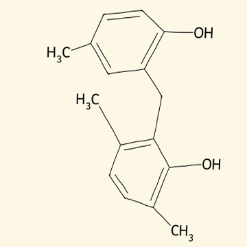 Cc1ccc(O)c(Cc2c(C)ccc(C)c2O)c1